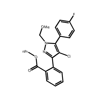 CCCOC(=O)c1ccccc1-c1nn(COC)c(-c2ccc(F)cc2)c1Cl